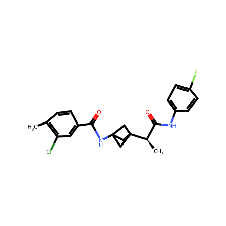 Cc1ccc(C(=O)NC23CC([C@H](C)C(=O)Nc4ccc(F)cc4)(C2)C3)cc1Cl